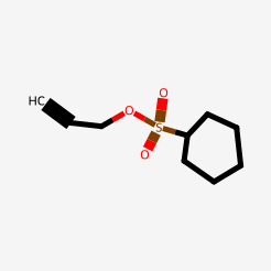 C#CCOS(=O)(=O)C1CCCCC1